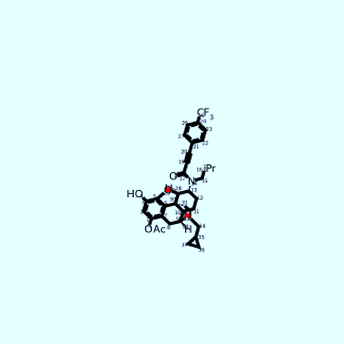 CC(=O)Oc1cc(O)c2c3c1C[C@@H]1[C@@H]4CC[C@@H](N(CC(C)C)C(=O)C#Cc5ccc(C(F)(F)F)cc5)[C@H](O2)[C@]34CCN1CC1CC1